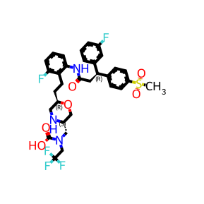 CS(=O)(=O)c1ccc([C@@H](CC(=O)Nc2cccc(F)c2CC[C@@H]2CN[C@@H](CN(CC(F)(F)F)C(=O)O)CO2)c2cccc(F)c2)cc1